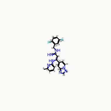 Cc1cccc(N/C(=C\C(=N)NCc2cc(F)ccc2F)c2ccn3ncnc3c2)n1